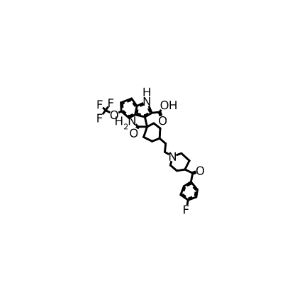 NC(=O)C1(c2c(C(=O)O)[nH]c3ccc(OC(F)(F)F)cc23)CCC(CCN2CCC(C(=O)c3ccc(F)cc3)CC2)CC1